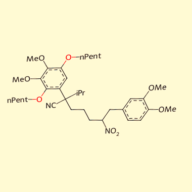 CCCCCOc1cc(C(C#N)(CCCC(Cc2ccc(OC)c(OC)c2)[N+](=O)[O-])C(C)C)c(OCCCCC)c(OC)c1OC